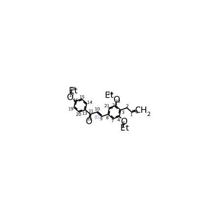 C=CCc1c(OCC)cc(/C=C/C(=O)c2ccc(OCC)cc2)cc1OCC